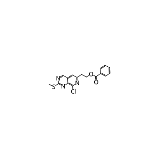 CSc1ncc2cc(CCOC(=O)c3ccccc3)nc(Cl)c2n1